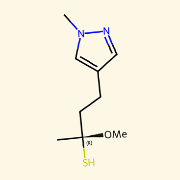 CO[C@](C)(S)CCc1cnn(C)c1